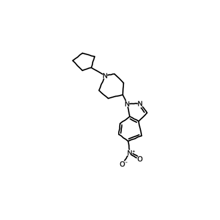 O=[N+]([O-])c1ccc2c(cnn2C2CCN(C3CCCC3)CC2)c1